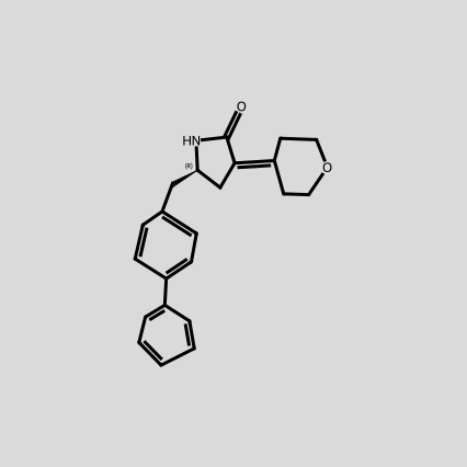 O=C1N[C@H](Cc2ccc(-c3ccccc3)cc2)CC1=C1CCOCC1